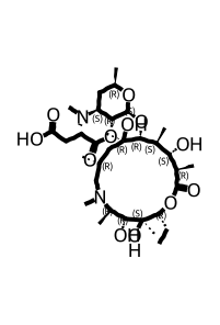 CC[C@H]1OC(=O)[C@H](C)[C@@H](O)[C@H](C)[C@@H](O[C@@H]2O[C@H](C)C[C@H](N(C)C)[C@H]2OC(=O)CCC(=O)O)[C@](C)(O)C[C@@H](C)CN(C)[C@H](C)[C@@H](O)[C@]1(C)O